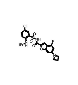 CC(C)Nc1ccc(Cl)cc1S(=O)(=O)NC(=O)c1cc2c(F)cc(N3CCC3)cc2o1